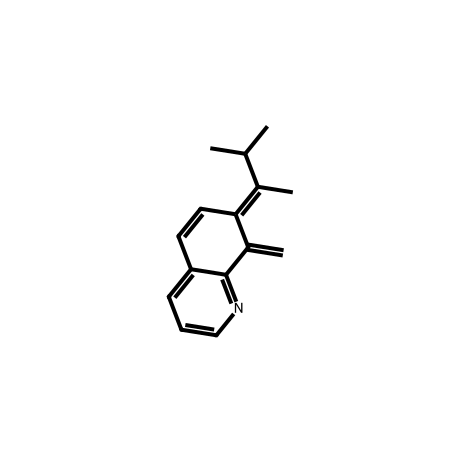 C=c1/c(=C(\C)C(C)C)ccc2cccnc12